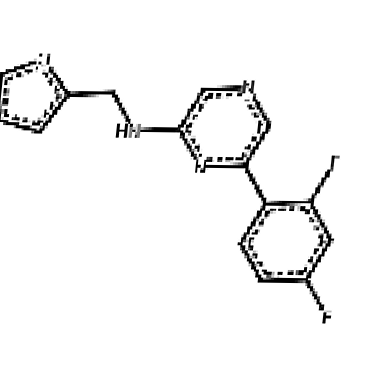 Fc1ccc(-c2cncc(NCc3ccco3)n2)c(F)c1